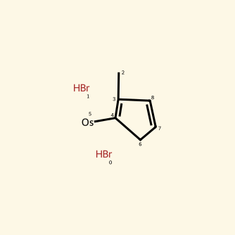 Br.Br.CC1=[C]([Os])CC=C1